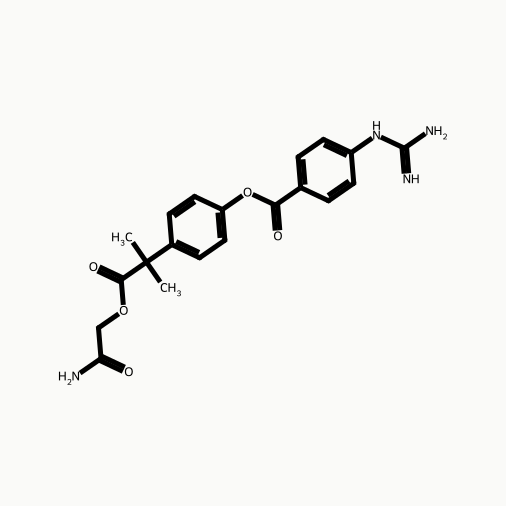 CC(C)(C(=O)OCC(N)=O)c1ccc(OC(=O)c2ccc(NC(=N)N)cc2)cc1